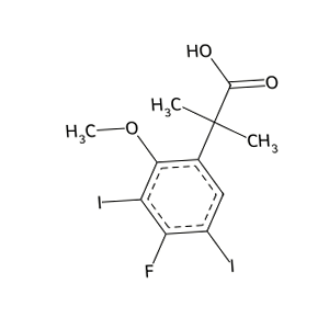 COc1c(C(C)(C)C(=O)O)cc(I)c(F)c1I